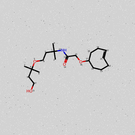 CC(C)(CCOC(C)(C)CCO)NC(=O)COC1CC/C=C/CCC1